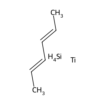 CC=CC=CC.[SiH4].[Ti]